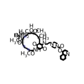 CO[C@H]1/C=C\C=C(/C)C(=O)NC2=CC(=O)C(NCCN3CCN(C(=O)Oc4ccnc5ccccc45)CC3)=C(C[C@@H](C)C[C@H](OC)[C@@H](O)[C@@H](C)/C=C(\C)[C@@H]1OC(N)=O)C2=O